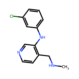 CNCc1ccncc1Nc1cccc(Cl)c1